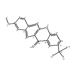 COc1ccc2cc3oc4ccc(C(F)(F)F)cc4c(=O)c3cc2c1